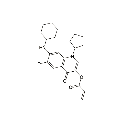 C=CC(=O)Oc1cn(C2CCCC2)c2cc(NC3CCCCC3)c(F)cc2c1=O